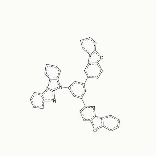 c1ccc2c(c1)nc1n(-c3cc(-c4ccc5oc6ccccc6c5c4)cc(-c4ccc5oc6ccccc6c5c4)c3)c3ccccc3n21